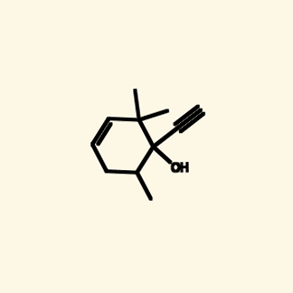 C#CC1(O)C(C)CC=CC1(C)C